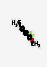 CCCc1ccc(-c2ccc(-c3ccc(OCC)c(F)c3F)cc2)cc1